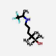 CC(NCCCC(C)(C)[Si](C)(C)O)C(F)(F)F